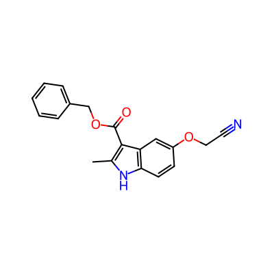 Cc1[nH]c2ccc(OCC#N)cc2c1C(=O)OCc1ccccc1